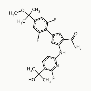 COC(C)(C)c1cc(F)c(-c2cc(C(N)=O)c(Nc3ccc(C(C)(C)O)c(F)n3)s2)c(F)c1